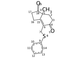 CC12CCC(=O)C(CSc3ccccc3)=C1CCC2=O